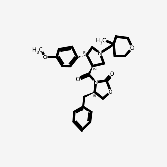 COc1ccc([C@@H]2CN(C3(C)CCOCC3)C[C@H]2C(=O)N2C(=O)OC[C@H]2Cc2ccccc2)cc1